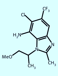 COCC(C)n1c(C)nc2cc(C(F)(F)F)c(Cl)c(N)c21